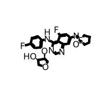 O=S1(=Nc2cc(F)c3c(Nc4ccc(F)cc4O[C@H]4COC[C@@H]4O)ncnc3c2)CCCC1